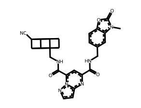 Cn1c(=O)oc2ccc(CNC(=O)c3cc(C(=O)NCC45C6C7C4C4C5C6C74C#N)n4nccc4n3)cc21